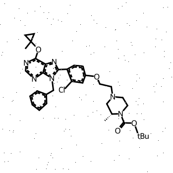 C[C@@H]1CN(CCOc2ccc(-c3nc4c(OC5(C)CC5)ncnc4n3Cc3ccccc3)c(Cl)c2)CCN1C(=O)OC(C)(C)C